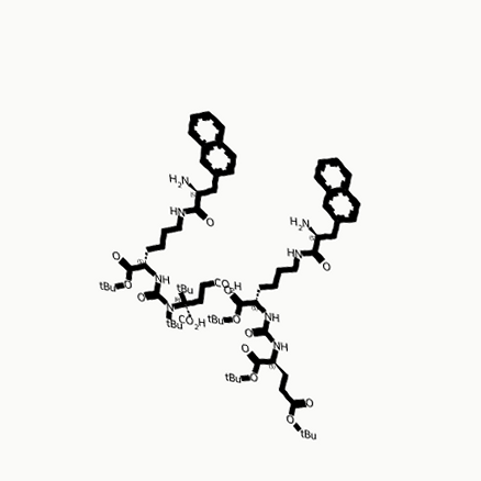 CC(C)(C)OC(=O)CC[C@H](NC(=O)N[C@@H](CCCCNC(=O)[C@@H](N)Cc1ccc2ccccc2c1)C(=O)OC(C)(C)C)C(=O)OC(C)(C)C.CC(C)(C)OC(=O)[C@H](CCCCNC(=O)[C@@H](N)Cc1ccc2ccccc2c1)NC(=O)N(C(C)(C)C)[C@@](CCC(=O)O)(C(=O)O)C(C)(C)C